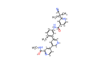 CNC(=O)c1cc(-c2cncc(-c3cc(NC(=O)c4ccnc(C(C)(C)C#N)c4)ccc3C)c2)ccn1